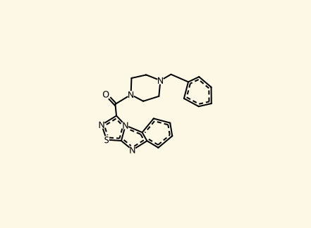 O=C(c1nsc2nc3ccccc3n12)N1CCN(Cc2ccccc2)CC1